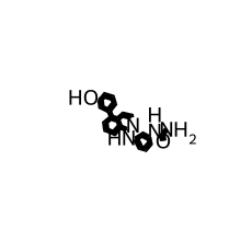 NC(=O)Nc1cccc(Nc2nccc3c(-c4cccc(O)c4)cccc23)c1